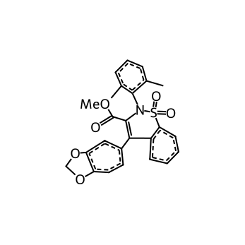 COC(=O)C1=C(c2ccc3c(c2)OCO3)c2ccccc2S(=O)(=O)N1c1c(C)cccc1C